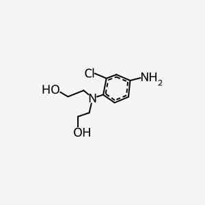 Nc1ccc(N(CCO)CCO)c(Cl)c1